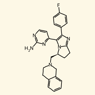 Nc1nccc(-c2c(-c3ccc(F)cc3)nc3n2[C@H](CN2CCc4ccccc4C2)CC3)n1